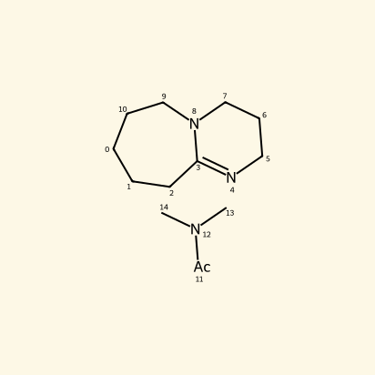 C1CCC2=NCCCN2CC1.CC(=O)N(C)C